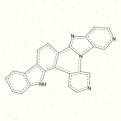 c1ccc2c(c1)[nH]c1c2ccc2c1c1ccncc1n1c3cnccc3nc21